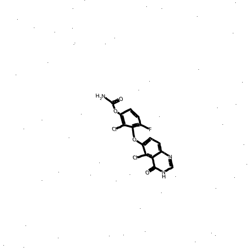 NC(=O)Oc1ccc(F)c(Oc2ccc3nc[nH]c(=O)c3c2Cl)c1Cl